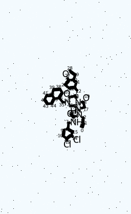 C#CCN(C(=O)NCc1ccc(Cl)c(Cl)c1)N1CC(=O)N2[C@@H](Cc3ccc4occc4c3)C(=O)N(Cc3cccc4ccccc34)C[C@@H]21